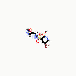 COc1ncc(Br)cc1S(=O)(=O)NCc1cnco1